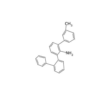 Cc1cccc(-c2cccc(-c3ccccc3-c3ccccc3)c2N)c1